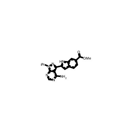 COC(=O)c1ccc2cc(-c3nn(C(C)C)c4ncnc(N)c34)[nH]c2c1